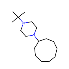 CC(C)(C)N1CCN(C2CCCCCCCC2)CC1